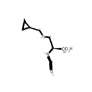 O=C=N[C@@H](COCC1CC1)C(=O)O